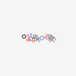 CC(C)(C)OC(=O)N1CCN(CCC(C)(C)[C@@H](NC(=O)Oc2ccccc2)C(=O)O)CC1